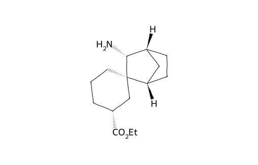 CCOC(=O)[C@@H]1CCC[C@@]2(C1)[C@H]1CC[C@H](C1)[C@H]2N